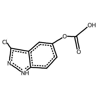 O=C(O)Oc1ccc2[nH]nc(Cl)c2c1